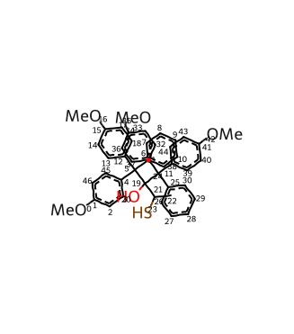 COc1ccc(C(c2ccccc2)(c2ccc(OC)cc2)C(O)(C(C)S)C(c2ccccc2)(c2ccc(OC)cc2)c2ccc(OC)cc2)cc1